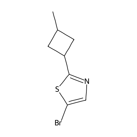 CC1CC(c2ncc(Br)s2)C1